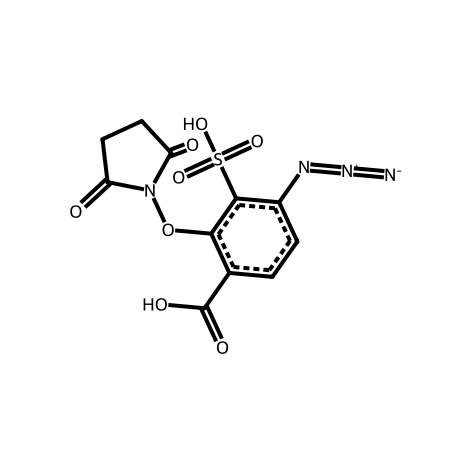 [N-]=[N+]=Nc1ccc(C(=O)O)c(ON2C(=O)CCC2=O)c1S(=O)(=O)O